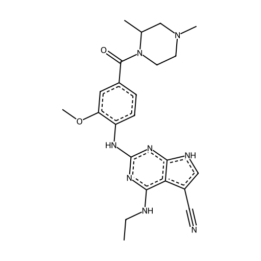 CCNc1nc(Nc2ccc(C(=O)N3CCN(C)CC3C)cc2OC)nc2[nH]cc(C#N)c12